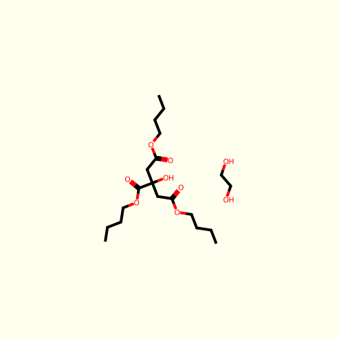 CCCCOC(=O)CC(O)(CC(=O)OCCCC)C(=O)OCCCC.OCCO